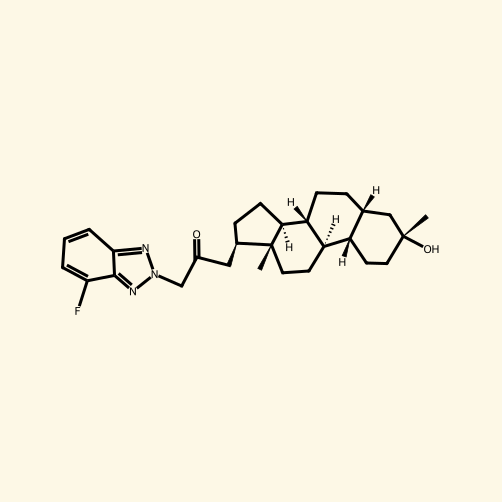 C[C@@]1(O)CC[C@H]2[C@H](CC[C@@H]3[C@@H]2CC[C@]2(C)[C@@H](CC(=O)Cn4nc5cccc(F)c5n4)CC[C@@H]32)C1